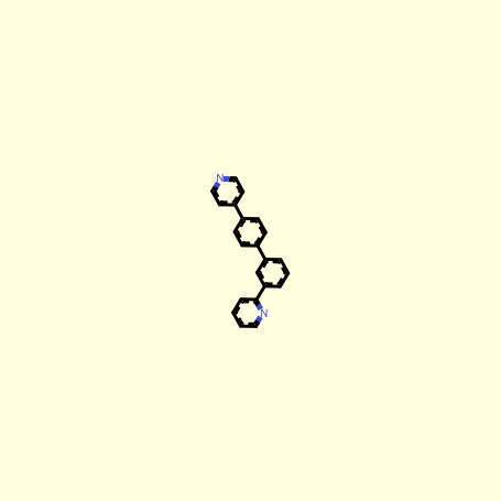 c1ccc(-c2cccc(-c3ccc(-c4ccncc4)cc3)c2)nc1